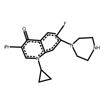 CC(C)c1cn(C2CC2)c2cc(N3CCNCC3)c(F)cc2c1=O